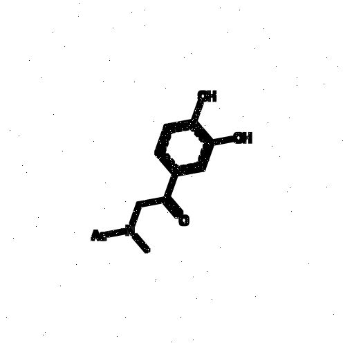 CC(=O)N(C)CC(=O)c1ccc(O)c(O)c1